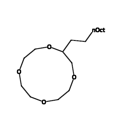 CCCCCCCCCCC1COCCOCCOCCO1